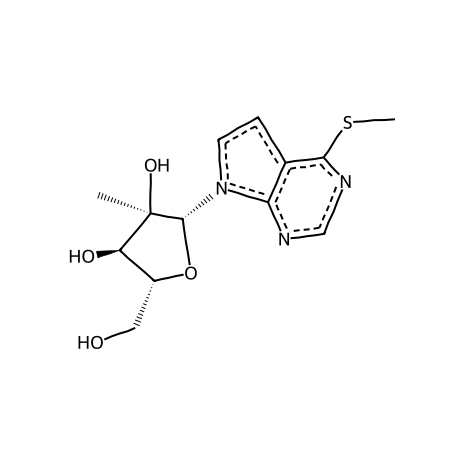 CSc1ncnc2c1ccn2[C@@H]1O[C@H](CO)[C@@H](O)[C@@]1(C)O